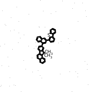 CC1(C)c2cc(-c3cc(-c4cccc5c4sc4ccccc45)cc4ccccc34)ccc2-c2ccc3ccccc3c21